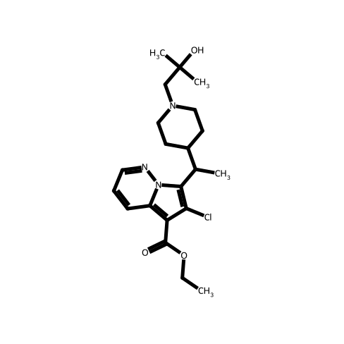 CCOC(=O)c1c(Cl)c(C(C)C2CCN(CC(C)(C)O)CC2)n2ncccc12